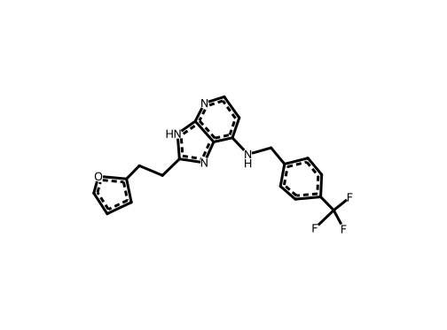 FC(F)(F)c1ccc(CNc2ccnc3[nH]c(CCc4ccco4)nc23)cc1